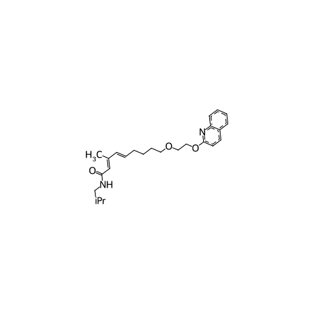 CC(C=CCCCCOCCOc1ccc2ccccc2n1)=CC(=O)NCC(C)C